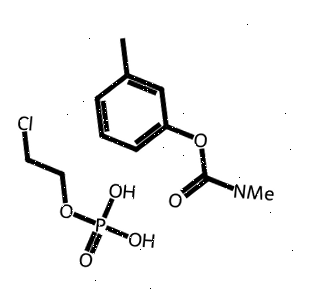 CNC(=O)Oc1cccc(C)c1.O=P(O)(O)OCCCl